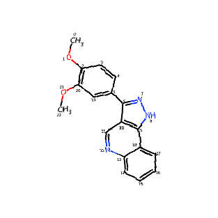 COc1ccc(-c2n[nH]c3c2cnc2ccccc23)cc1OC